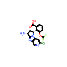 N[C@@H]1C[C@H](c2c(OC(F)F)cccc2C(=O)O)n2c1nc1cnc(Cl)cc12